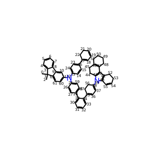 CC1(C)c2ccccc2-c2cc(N(c3ccc(C4=CC=CCC4)cc3)c3ccc(-c4ccccc4C4=CC=C(n5c6c(c7c5CCC5=C7CCCC5)CCC=C6)CC4)cc3)ccc21